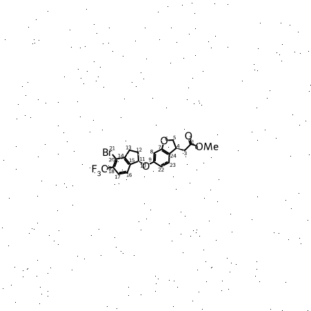 COC(=O)C[C@@H]1COc2cc(O[C@@H]3CCc4c3ccc(C(F)(F)F)c4Br)ccc21